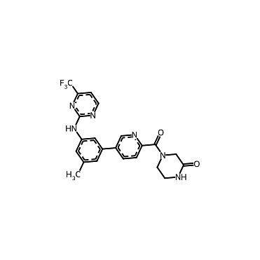 Cc1cc(Nc2nccc(C(F)(F)F)n2)cc(-c2ccc(C(=O)N3CCNC(=O)C3)nc2)c1